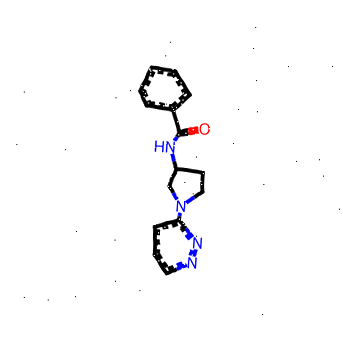 O=C(NC1CCN(c2cccnn2)C1)c1ccccc1